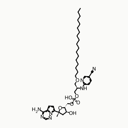 CCCCCCCCCCCCCCCCCCOC[C@H](COP(=O)(O)OC[C@H]1O[C@@](C)(c2ccc3c(N)ncnn23)C[C@@H]1O)Nc1ccc(C#N)cn1